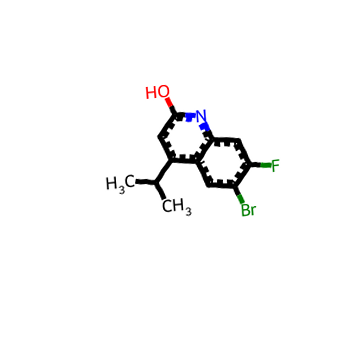 CC(C)c1cc(O)nc2cc(F)c(Br)cc12